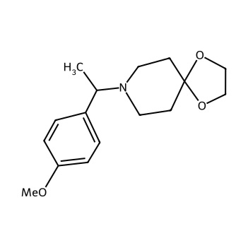 COc1ccc(C(C)N2CCC3(CC2)OCCO3)cc1